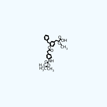 CCOC(Cc1ccc(OC(=O)Cc2ccc(NC(=O)OC(C)(C)C)cc2)c(Cc2ccccc2)c1)C(=O)O